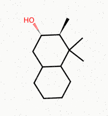 C[C@@H]1[C@@H](O)CC2CCCCC2C1(C)C